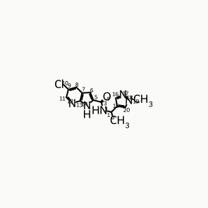 CC(NC(=O)c1cc2cc(Cl)cnc2[nH]1)c1cnn(C)c1